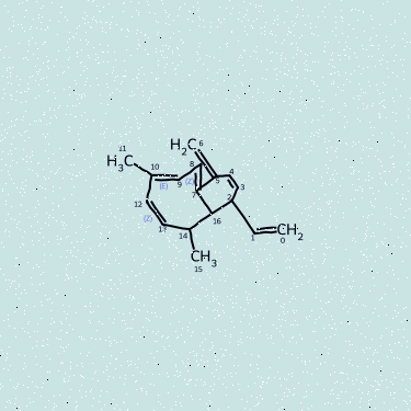 C=CC1C=CC(=C)\C2=C/C=C(C)/C=C\C(C)C21